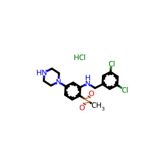 CS(=O)(=O)c1ccc(N2CCNCC2)cc1NCc1cc(Cl)cc(Cl)c1.Cl